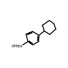 [CH2]CCCCCc1ccc(C2CCCCC2)cc1